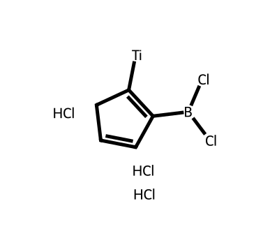 Cl.Cl.Cl.ClB(Cl)C1=[C]([Ti])CC=C1